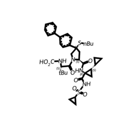 CCCCS[C@@]1(c2ccc(-c3ccccc3)cc2)C[C@@H](C(=O)N[C@]2(C(=O)NS(=O)(=O)C3CC3)C[C@H]2C2CC2)N(C(=O)[C@@H](NC(=O)O)C(C)(C)C)C1